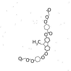 CCC1c2cc(OCOC3CCC(OCOCC4CO4)CC3)ccc2-c2ccc(OC(=O)C3CCC(OCOCC4CO4)CC3)cc21